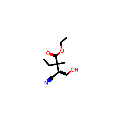 CCOC(=O)C(C)(CC)/C(C#N)=C\O